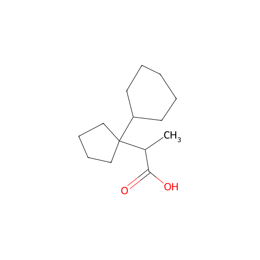 CC(C(=O)O)C1(C2CCCCC2)CCCC1